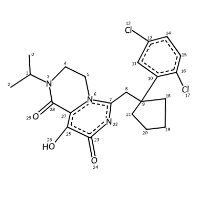 CC(C)N1CCn2c(CC3(c4cc(Cl)ccc4Cl)CCCC3)nc(=O)c(O)c2C1=O